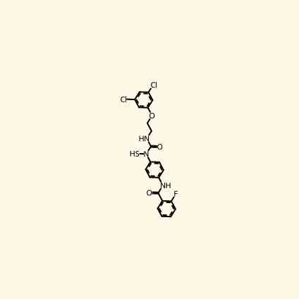 O=C(Nc1ccc(N(S)C(=O)NCCOc2cc(Cl)cc(Cl)c2)cc1)c1ccccc1F